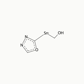 O[CH2][Sn][c]1nnco1